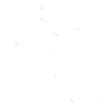 Cc1cncc(-c2ccc(C(C)NC(=O)N(C)C3CCN(C)CC3)c(Cl)c2Cl)c1